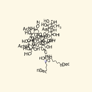 CCCCCCCCCCCCC/C=C/[C@@H](O)[C@H](CO[C@@H]1OC(CO)[C@@H](O[C@@H]2OC(CO)[C@H](O[C@@H]3OC(CO)[C@H](O)[C@H](O)C3N(C(C)=O)[C@H]3OC(C)[C@@H](O)C(O)[C@@H]3O)[C@H](O[C@]3(C(=O)O)CC(O)[C@@H](NC(C)=O)C([C@H](O)[C@@H](CO)O[C@]4(C(=O)O)CC(O)[C@@H](NC(C)=O)C([C@H](O)[C@H](O)CO)O4)O3)C2O)[C@H](O)C1O)NC(=O)CCCCCCCCCCCCCCC